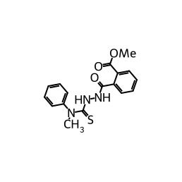 COC(=O)c1ccccc1C(=O)NNC(=S)N(C)c1ccccc1